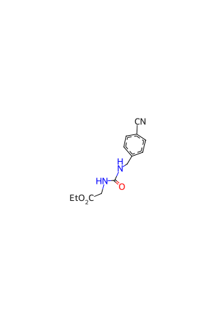 CCOC(=O)CNC(=O)NCc1ccc(C#N)cc1